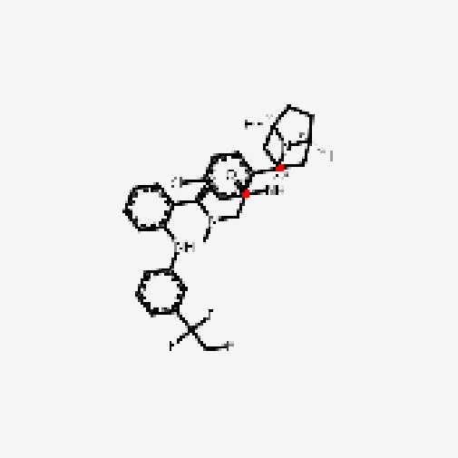 CN(CC(=O)N[C@@H]1C[C@H]2CC[C@@H](C1)N2Cc1ccc(Cl)cc1)C(=O)c1ccccc1Nc1cccc(C(F)(F)CF)c1